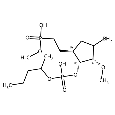 BC1C[C@H](CCP(=O)(O)OC)[C@@H](OP(=O)(O)OC(C)CCC)[C@H]1OC